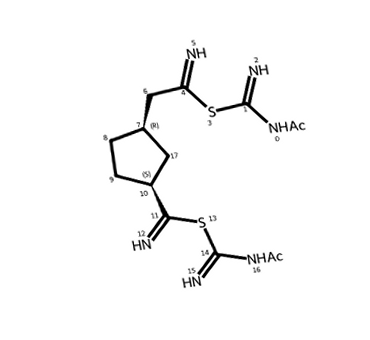 CC(=O)NC(=N)SC(=N)C[C@@H]1CC[C@H](C(=N)SC(=N)NC(C)=O)C1